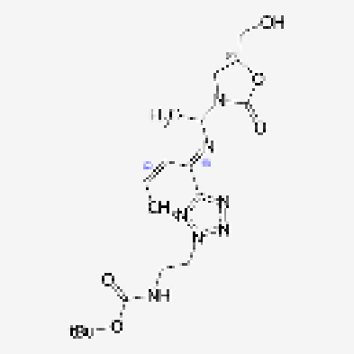 C/C=C\C(=N/C(C)N1C[C@H](CO)OC1=O)c1nnn(CCNC(=O)OC(C)(C)C)n1